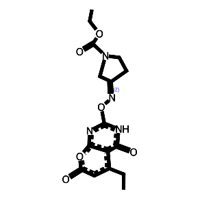 CCOC(=O)N1CC/C(=N/Oc2nc3oc(=O)cc(CC)c3c(=O)[nH]2)C1